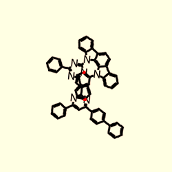 c1ccc(-c2ccc(-c3cc(-c4ccccc4)nc(-c4cccc(-n5c6ccccc6c6ccc7c8ccccc8n(-c8nc(-c9ccccc9)nc(-c9ccccc9)n8)c7c65)c4)n3)cc2)cc1